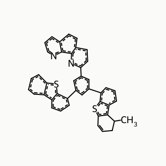 CC1CC=Cc2sc3c(-c4cc(-c5ccc6ccc7cccnc7c6n5)cc(-c5cccc6c5sc5ccccc56)c4)cccc3c21